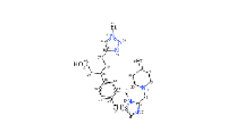 CCC1CCN(Cc2nccn2Cc2cc(C(CCc3cn(CC)nn3)CC(=O)O)ccc2C)CC1